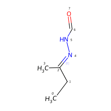 CC/C(C)=N/NC=O